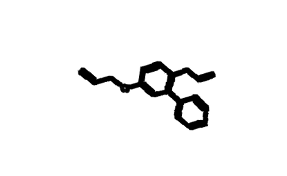 C=CCOc1ccc(CC=C)c(-c2ccccc2)c1